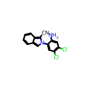 N#Cc1c2ccccc2cn1-c1cc(Cl)c(Cl)cc1N